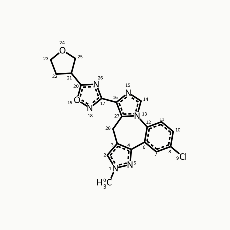 Cn1cc2c(n1)-c1cc(Cl)ccc1-n1cnc(-c3noc(C4CCOC4)n3)c1C2